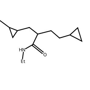 CCNC(=O)C(CCC1CC1)CC1CC1C